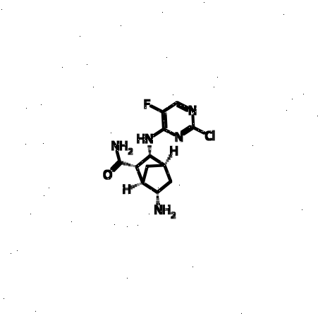 NC(=O)[C@H]1[C@H]2C[C@H](C[C@@H]2N)[C@H]1Nc1nc(Cl)ncc1F